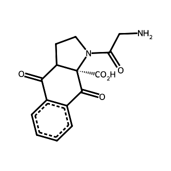 NCC(=O)N1CCC2C(=O)c3ccccc3C(=O)[C@@]21C(=O)O